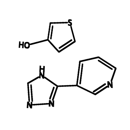 Oc1ccsc1.c1cncc(-c2nnc[nH]2)c1